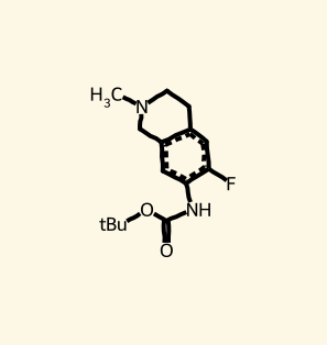 CN1CCc2cc(F)c(NC(=O)OC(C)(C)C)cc2C1